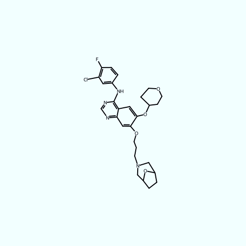 Fc1ccc(Nc2ncnc3cc(OCCCN4CC5CCC(C4)O5)c(OC4CCOCC4)cc23)cc1Cl